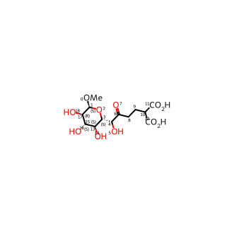 CO[C@H]1O[C@H](C(O)C(=O)CCC(C(=O)O)C(=O)O)[C@@H](O)[C@H](O)[C@H]1O